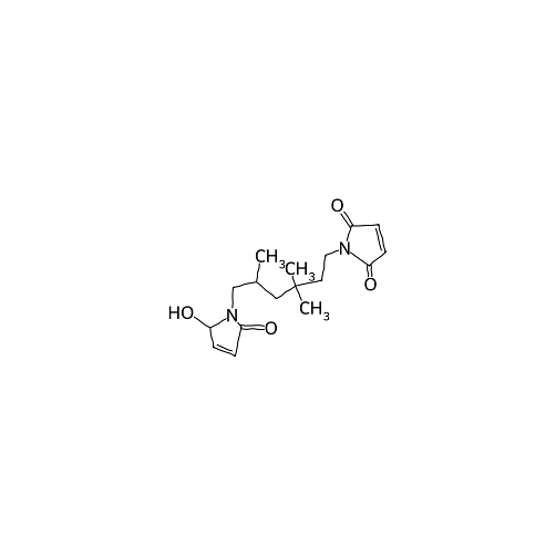 CC(CN1C(=O)C=CC1O)CC(C)(C)CCN1C(=O)C=CC1=O